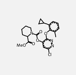 COC(=O)C1CCCCN1C(=O)Oc1cc(Cl)nnc1Oc1c(C)cccc1C1CC1